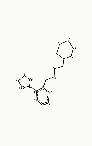 c1ccc(C2OCCO2)c(CCCCC2CCCCC2)c1